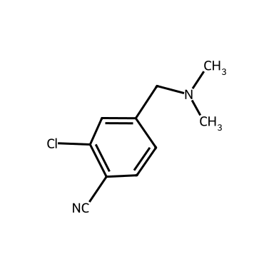 CN(C)Cc1ccc(C#N)c(Cl)c1